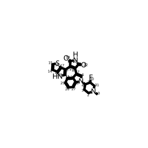 CN1CCC(n2cc(C3=C(c4c[nH]c5ccsc45)C(=O)NC3=O)c3ccccc32)C(F)C1